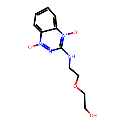 [O-][n+]1nc(NCCOCCO)[n+]([O-])c2ccccc21